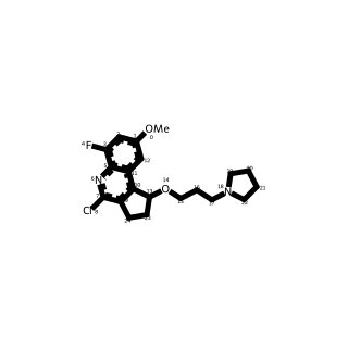 COc1cc(F)c2nc(Cl)c3c(c2c1)C(OCCCN1CCCC1)CC3